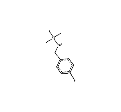 C[Si](C)(C)NCc1ccc(F)cc1